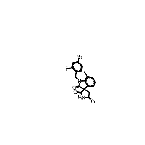 Cc1cccc2c1N(Cc1ccc(Br)cc1F)C(=O)C21CC(=O)NC1=O